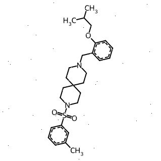 Cc1cccc(S(=O)(=O)N2CCC3(CCN(Cc4ccccc4OCC(C)C)CC3)CC2)c1